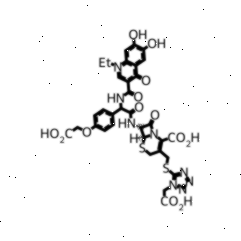 CCn1cc(C(=O)NC(C(=O)N[C@@H]2C(=O)N3C(C(=O)O)=C(CSc4nnnn4CC(=O)O)CS[C@@H]23)c2ccc(OCC(=O)O)cc2)c(=O)c2cc(O)c(O)cc21